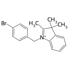 CC1=[N+](Cc2ccc(Br)cc2)c2ccccc2C1(C)C